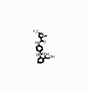 Cn1nc(C(F)(F)F)cc1C(=O)Nc1ccc(S(=O)(=O)c2ccccc2C(O)CO)cc1